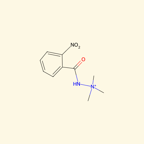 C[N+](C)(C)NC(=O)c1ccccc1[N+](=O)[O-]